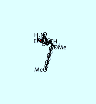 CCN(CC)c1ccc(NC(=O)c2cccc(C(=O)N(C)CCN(CCOC)CCOCCOCCOCCOCCOCCOCCOC)c2)c(-c2cc(C(N)=O)ccn2)c1